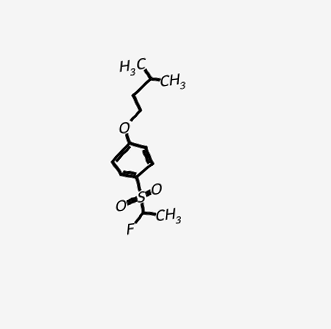 CC(C)CCOc1ccc(S(=O)(=O)C(C)F)cc1